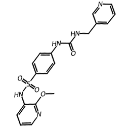 COc1ncccc1NS(=O)(=O)c1ccc(NC(=O)NCc2cccnc2)cc1